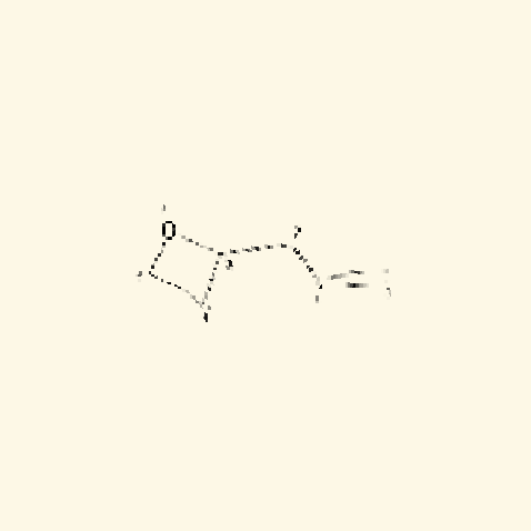 C=CCC1[CH]CO1